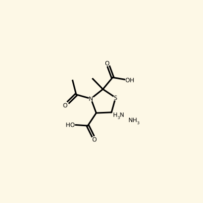 CC(=O)N1C(C(=O)O)CSC1(C)C(=O)O.N.N